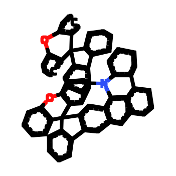 c1ccc(-c2ccccc2N(c2cccc3c2-c2ccccc2C32c3ccccc3Oc3ccccc32)c2cccc3cc4c(cc23)C2(c3ccccc3Oc3ccccc32)c2ccccc2-4)cc1